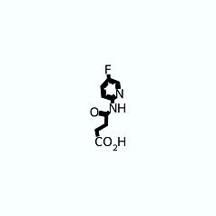 O=C(O)CCC(=O)Nc1ccc(F)cn1